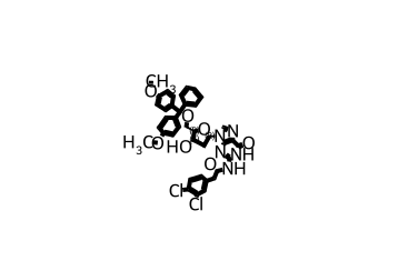 COc1ccc(C(OC[C@H]2O[C@@H](n3cnc4c(=O)[nH]c(NC(=O)Cc5ccc(Cl)c(Cl)c5)nc43)C[C@@H]2O)(c2ccccc2)c2ccc(OC)cc2)cc1